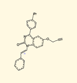 C#CCOc1ccc2c(c1)c(-c1ccc(C(C)C)cc1)nc(=O)n2/C=C/c1ccccc1